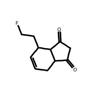 O=C1CC(=O)C2C(CCF)C=CCC12